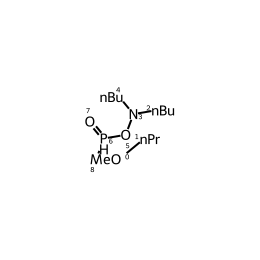 CCCC.CCCCN(CCCC)O[PH](=O)OC